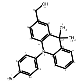 CC(C)(C)c1ccc(N2c3ccccc3C(C)(C)c3cc(CO)ccc32)cc1